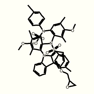 COc1c(C)cc(N(c2ccc(C)cc2)S(=O)(=O)O)c(N(c2cc(C)c(OC)c(C)c2-n2c3ccccc3c3c(OCC4CO4)cccc32)S(=O)(=O)c2ccc(C)cc2)c1C